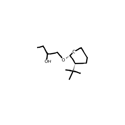 CCC(O)CO[C@@H]1CCCC[C@@H]1C(C)(C)C